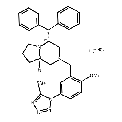 COc1ccc(-n2nnnc2SC)cc1CN1C[C@@H]2CCCN2[C@H](C(c2ccccc2)c2ccccc2)C1.Cl.Cl